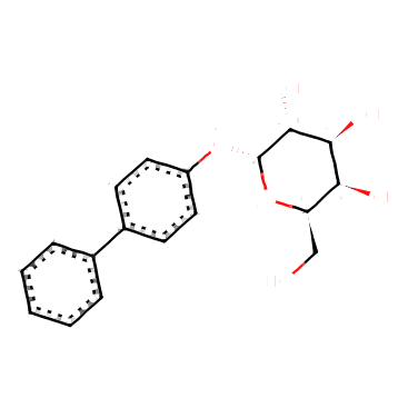 OC[C@H]1O[C@H](Oc2ccc(-c3ccccc3)cc2)[C@H](O)[C@@H](O)[C@H]1O